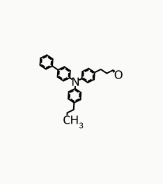 CCCc1ccc(N(c2ccc(CCC=O)cc2)c2ccc(-c3ccccc3)cc2)cc1